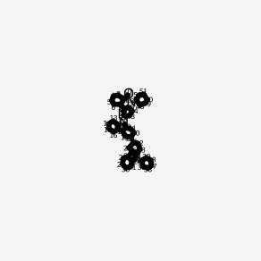 O=c1c2ccccc2c2nc(-n3c4ccccc4c4cc(-c5ccc6c(c5)c5ccccc5n6-c5ccccc5)ccc43)ccc2n1-c1ccccc1